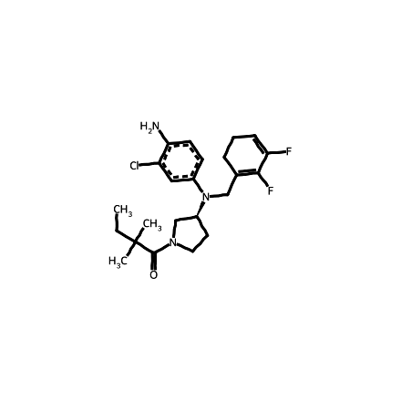 CCC(C)(C)C(=O)N1CC[C@H](N(CC2=C(F)C(F)=CCC2)c2ccc(N)c(Cl)c2)C1